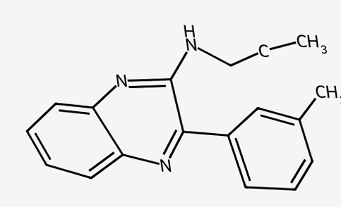 CCCNc1nc2ccccc2nc1-c1cccc(C)c1